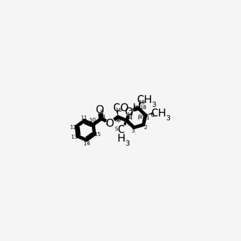 C[C@@H]1CC[C@](C)([C@H](OC(=O)c2ccccc2)C(=O)O)O[C@@H]1C